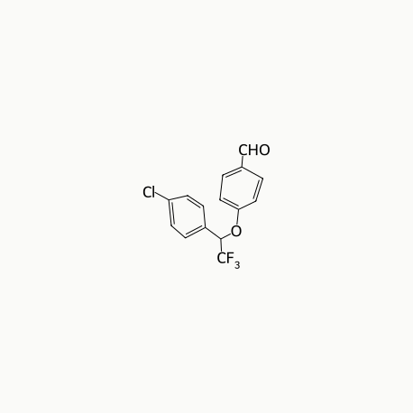 O=Cc1ccc(OC(c2ccc(Cl)cc2)C(F)(F)F)cc1